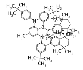 Cc1cc2c3c(c1)N(c1ccc(C(C)(C)C)cc1-c1cc4c(cc1C)C(C)(C)CCC4(C)C)c1sc4cc5c(cc4c1B3c1cc(C(C)(C)C)ccc1N2c1ccc(C(C)(C)C)cc1)C(C)(C)CCC5(C)C